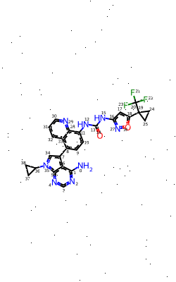 Nc1ncnc2c1c(-c1ccc(NC(=O)Nc3cc(C4(C(F)(F)F)CC4)on3)c3ncccc13)cn2C1CC1